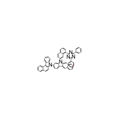 c1ccc(-c2nc(-c3ccccc3)nc(-c3cccc4ccc(-n5c6cc(-n7c8ccccc8c8c9ccccc9ccc87)ccc6c6cc7ccccc7cc65)cc34)n2)cc1